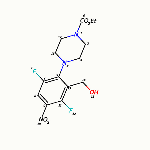 CCOC(=O)N1CCN(c2c(F)cc([N+](=O)[O-])c(F)c2CO)CC1